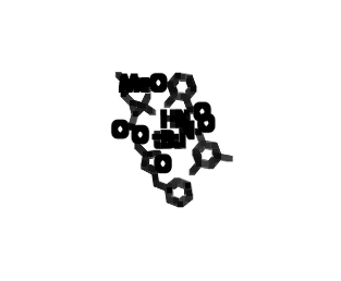 CC(C)=CC1C(C(=O)OCc2coc(Cc3ccccc3)c2)C1(C)C.COc1cccc(C(=O)NN(C(=O)c2cc(C)cc(C)c2)C(C)(C)C)c1C